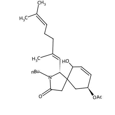 CCCCN1C(=O)CC2(C[C@H](OC(C)=O)C=CC2O)[C@H]1/C=C(\C)CCC=C(C)C